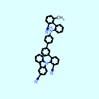 Cc1cccc(C#N)c1-c1ccccc1Nc1ccc(-c2cccc(-c3cccc(C#N)c3-n3c4ccccc4c4cc(C#N)ccc43)c2)cc1